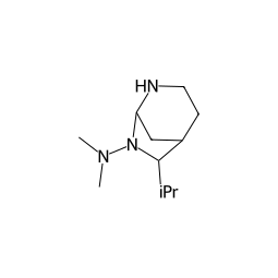 CC(C)C1C2CCNC(C2)N1N(C)C